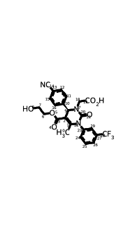 CC1=C(C(=O)OCCO)[C@@H](c2ccc(C#N)cc2)N(CC(=O)O)C(=O)N1c1cccc(C(F)(F)F)c1